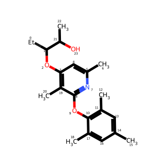 CCC(Oc1cc(C)nc(Oc2c(C)cc(C)cc2C)c1C)C(C)O